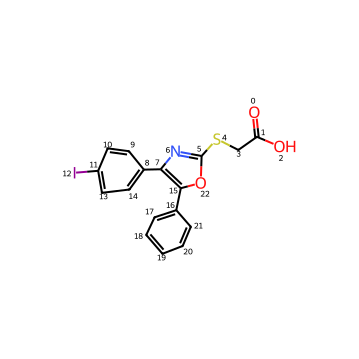 O=C(O)CSc1nc(-c2ccc(I)cc2)c(-c2ccccc2)o1